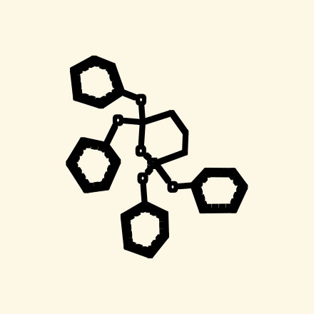 c1ccc(OC2(Oc3ccccc3)CCC[Si](Oc3ccccc3)(Oc3ccccc3)O2)cc1